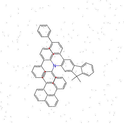 CC1(C)c2ccccc2-c2cc(-c3ccc(-c4ccccc4)cc3)c(N(c3ccc(-c4cccc5cccc(-c6ccccc6)c45)cc3)c3ccccc3-c3ccccc3)cc21